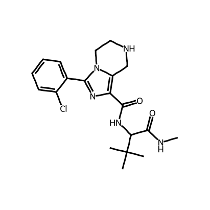 CNC(=O)C(NC(=O)c1nc(-c2ccccc2Cl)n2c1CNCC2)C(C)(C)C